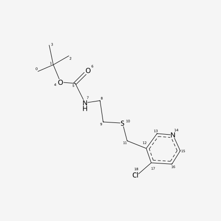 CC(C)(C)OC(=O)NCCSCc1cnccc1Cl